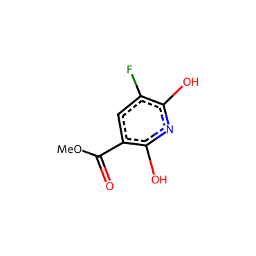 COC(=O)c1cc(F)c(O)nc1O